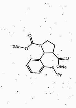 COC(=O)C1CCN(C(=O)OC(C)(C)C)C1c1ccccc1SC(C)C